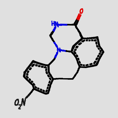 O=C1NCN2c3ccc([N+](=O)[O-])cc3Cc3cccc1c32